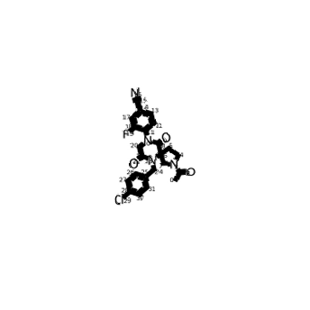 CC(=O)N1CCC2(C1)C(=O)N(c1ccc(C#N)cc1F)CC(=O)N2Cc1ccc(Cl)cc1